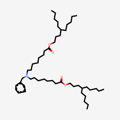 CCCCCC(CCCCC)CCCOC(=O)CCCCCCCN(CCCCCCCC(=O)OCCCC(CCCCC)CCCCC)Cc1ccccc1